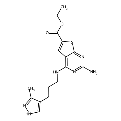 CCOC(=O)c1cc2c(NCCCc3c[nH]nc3C)nc(N)nc2s1